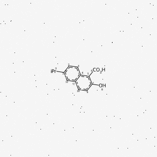 CC(C)c1ccc2c(C(=O)O)c(O)ccc2c1